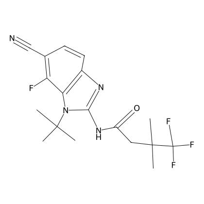 CC(C)(C)n1c(NC(=O)CC(C)(C)C(F)(F)F)nc2ccc(C#N)c(F)c21